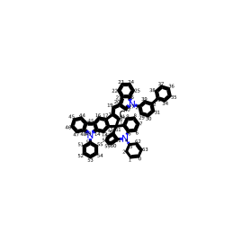 C1=CCC(N2c3ccccc3C3(c4cc5c(cc4-c4cc6c7ccccc7n(-c7cccc(-c8ccccc8)c7)c6cc43)c3ccccc3n5-c3ccccc3)c3ccccc32)C=C1